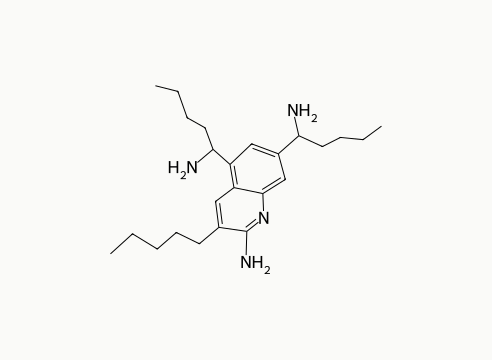 CCCCCc1cc2c(C(N)CCCC)cc(C(N)CCCC)cc2nc1N